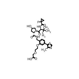 Cc1ncsc1-c1ccc(CNC(=O)[C@@H]2C[C@@H](O)CN2C(=O)[C@@H](NC(=O)C2(F)CC2)C(C)(C)C)c(OCCOCC(=O)O)c1